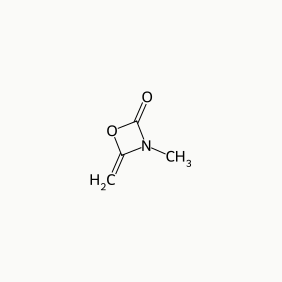 C=C1OC(=O)N1C